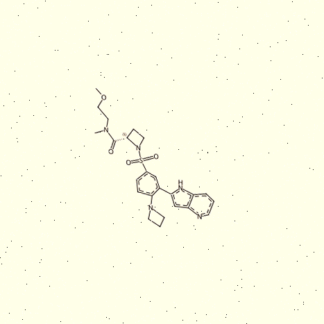 COCCN(C)C(=O)[C@@H]1CCN1S(=O)(=O)c1ccc(N2CCC2)c(-c2cc3ncccc3[nH]2)c1